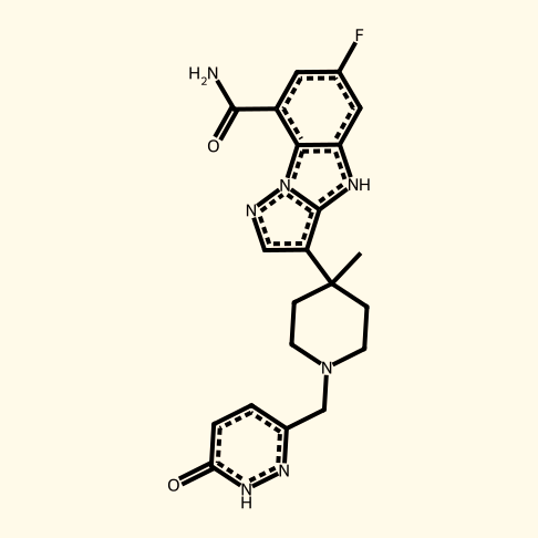 CC1(c2cnn3c2[nH]c2cc(F)cc(C(N)=O)c23)CCN(Cc2ccc(=O)[nH]n2)CC1